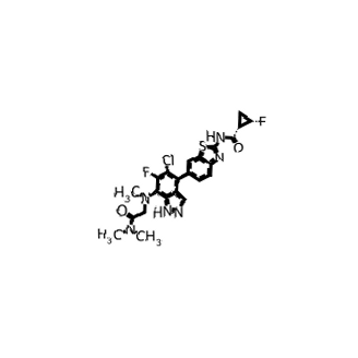 CN(C)C(=O)CN(C)c1c(F)c(Cl)c(-c2ccc3nc(NC(=O)[C@@H]4C[C@@H]4F)sc3c2)c2cn[nH]c12